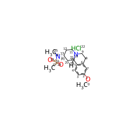 COc1ccc2c(c1)CCN1CC[C@@H](N(C)S(C)(=O)=O)C[C@@H]21.Cl